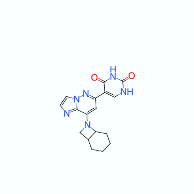 O=c1[nH]cc(-c2cc(N3CC4CCCCC43)c3nccn3n2)c(=O)[nH]1